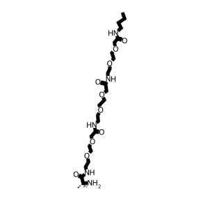 CCCCNC(=O)COCCOCCNC(=O)COCCOCCNC(=O)COCCOCCNC(=O)[C@@H](C)N